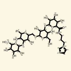 CC(C)C1OC(COC2OC(CO)C(O)C(OC3OC(C(=O)NCCCn4ccnc4)C(O)C(O)C3O)C2O)C(O)C(OC2OC(C(=O)O)C(O)C(O)C2O)C1O